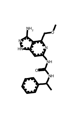 COCc1nc(NC(=O)NC(C)c2ccccc2)cc2[nH]nc(N)c12